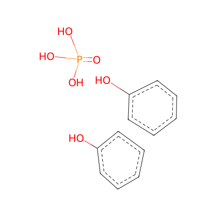 O=P(O)(O)O.Oc1ccccc1.Oc1ccccc1